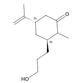 C=C(C)[C@@H]1CC(=O)C(C)[C@@H](CCCO)C1